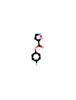 O=C(Oc1ccc(F)cc1)c1ccno1